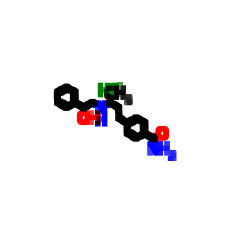 C[C@H](CCc1ccc(C(N)=O)cc1)NCC(O)c1ccccc1.Cl